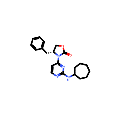 O=C1OC[C@@H](Cc2ccccc2)N1c1ccnc(NC2CCCCCC2)n1